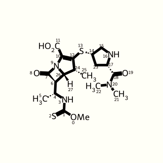 COC(=S)N[C@H](C)[C@H]1C(=O)N2C(C(=O)O)=C(S[C@@H]3CN[C@H](C(=O)N(C)C)C3)[C@H](C)[C@H]12